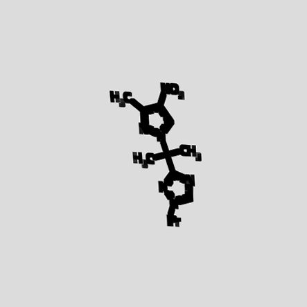 Cc1nn(C(C)(C)c2ncn(C(C)C)n2)cc1[N+](=O)[O-]